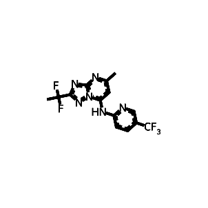 Cc1cc(Nc2ccc(C(F)(F)F)cn2)n2nc(C(C)(F)F)nc2n1